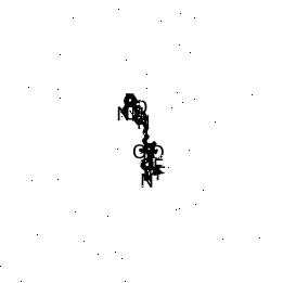 CC1=C(CCCCN2CCN(S(=O)(=O)c3ccccc3C#N)CC2)C(=O)N(c2ccc(C#N)c(C(F)(F)F)c2)C1=O